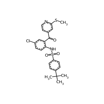 CSc1cc(C(=O)c2cc(Cl)ccc2NS(=O)(=O)c2ccc(C(C)(C)C)cc2)ccn1